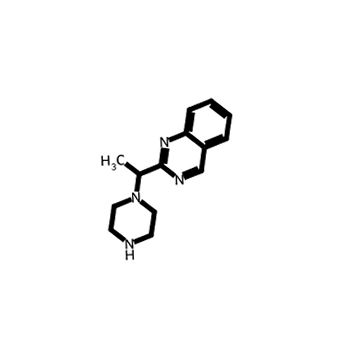 CC(c1ncc2ccccc2n1)N1CCNCC1